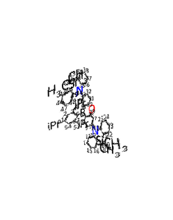 CC(C)c1cc(C(C)C)c(B2c3ccc(N4c5ccccc5[Si](C)(C)c5ccccc54)cc3Oc3ccc(N4c5ccccc5[Si](C)(C)c5ccccc54)cc32)c(C(C)C)c1